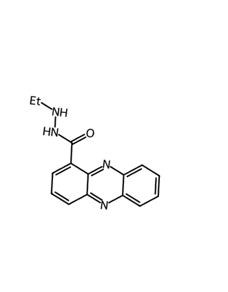 CCNNC(=O)c1cccc2nc3ccccc3nc12